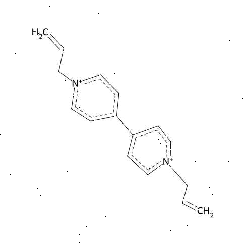 C=CC[n+]1ccc(-c2cc[n+](CC=C)cc2)cc1